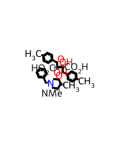 CN[C@H]1CN(Cc2ccccc2)CC[C@H]1C.Cc1ccc(C(=O)[C@](O)(C(=O)O)[C@@](O)(C(=O)O)C(=O)c2ccc(C)cc2)cc1